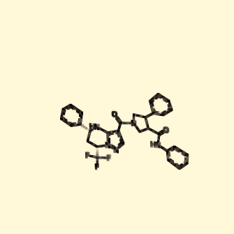 O=C(Nc1ccccc1)C1CN(C(=O)c2cnn3c2N[C@@H](c2ccccc2)C[C@H]3C(F)(F)F)CC1c1ccccc1